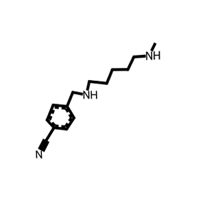 CNCCCCCNCc1ccc(C#N)cc1